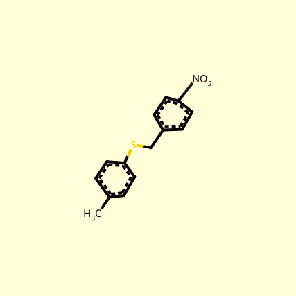 Cc1ccc(SCc2ccc([N+](=O)[O-])cc2)cc1